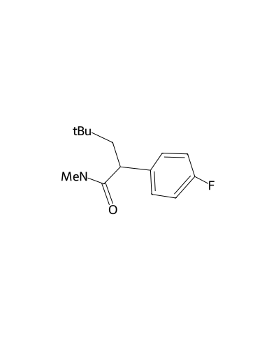 CNC(=O)C(CC(C)(C)C)c1ccc(F)cc1